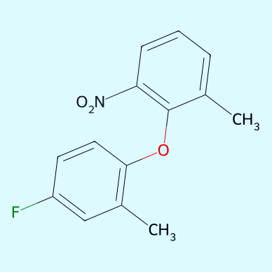 Cc1cc(F)ccc1Oc1c(C)cccc1[N+](=O)[O-]